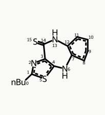 CCCCc1nc2c(s1)Nc1ccccc1NC2=S